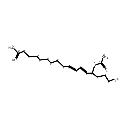 CCCCC(/C=C/C=C/CCCCCCCCC(C)=O)OC(C)=O